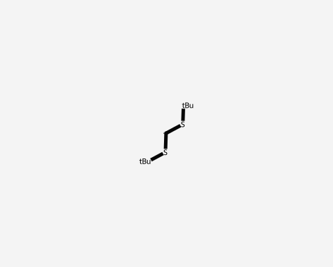 CC(C)(C)S[CH]SC(C)(C)C